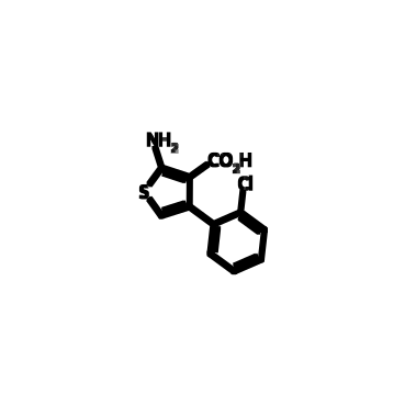 Nc1scc(-c2ccccc2Cl)c1C(=O)O